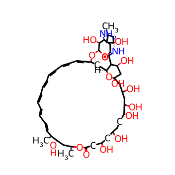 C[C@H]1C[C@H](O)[C@@H](C)/C=C/C=C/C=C/C=C/C=C/C=C/C=C/C(O[C@@H]2OC[C@@H](O)[C@H](N)[C@@H]2O)C[C@@H]2OC(O)(CC(O)CC(O)C(O)CCC(O)CC(O)CC(=O)O1)C[C@H](O)C2C(=O)N[C@H]1C[C@H](C)C1